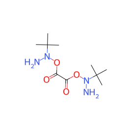 CC(C)(C)N(N)OC(=O)C(=O)ON(N)C(C)(C)C